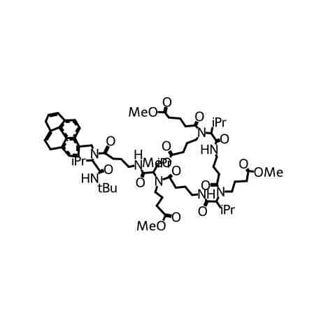 COC(=O)CCCC(=O)N(CCCC(=O)OC)C(C(=O)NCCCC(=O)N(CCCC(=O)OC)C(C(=O)NCCCC(=O)N(CCCC(=O)OC)C(C(=O)NCCCC(=O)N(Cc1ccc2c3c4c(ccc13)C=CCC4=CC2)C(C(=O)NC(C)(C)C)C(C)C)C(C)C)C(C)C)C(C)C